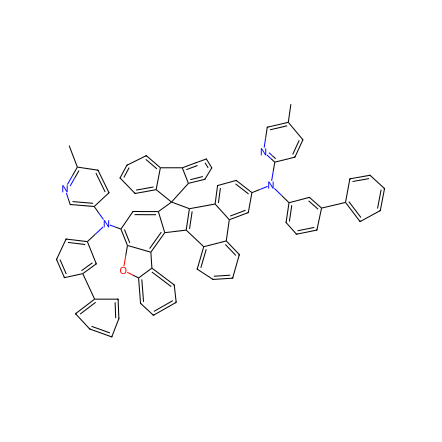 Cc1ccc(N(c2cccc(-c3ccccc3)c2)c2ccc3c4c(c5ccccc5c3c2)-c2c(cc(N(c3ccc(C)nc3)c3cccc(-c5ccccc5)c3)c3oc5ccccc5c23)C42c3ccccc3-c3ccccc32)nc1